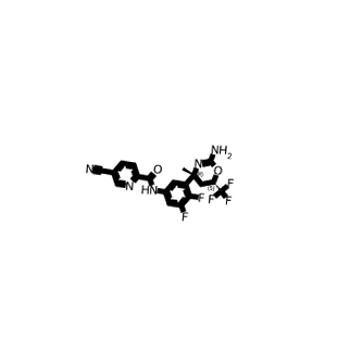 C[C@]1(c2cc(NC(=O)c3ccc(C#N)cn3)cc(F)c2F)C[C@@H](C(F)(F)F)OC(N)=N1